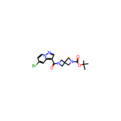 CC(C)(C)OC(=O)N1CC2(C1)CN(C(=O)c1cnn3ccc(Br)cc13)C2